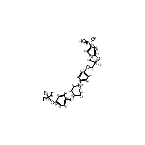 C[C@]1(COc2ccc(N3CCC(Oc4ccc(OC(F)(F)F)cc4)CC3)cc2)Cn2cc([NH+]([O-])O)nc2O1